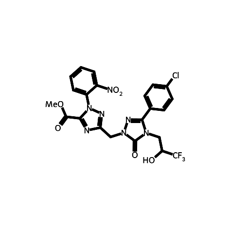 COC(=O)c1nc(Cn2nc(-c3ccc(Cl)cc3)n(CC(O)C(F)(F)F)c2=O)nn1-c1ccccc1[N+](=O)[O-]